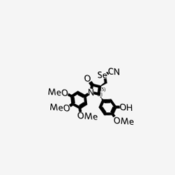 COc1ccc([C@H]2[C@H](C[Se]C#N)C(=O)N2c2cc(OC)c(OC)c(OC)c2)cc1O